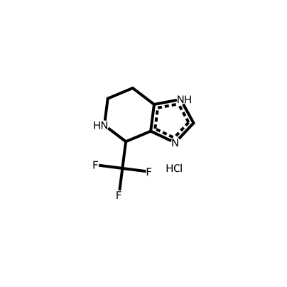 Cl.FC(F)(F)C1NCCc2[nH]cnc21